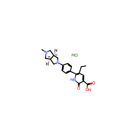 CCc1cc(C(=O)O)c(=O)[nH]c1-c1ccc(N2C[C@H]3CN(C)C[C@H]3C2)cc1.Cl